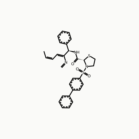 C=N/C(=C\C=C/C)[C@H](NC(=O)[C@@H]1SCCN1S(=O)(=O)c1ccc(-c2ccccc2)cc1)c1ccccc1